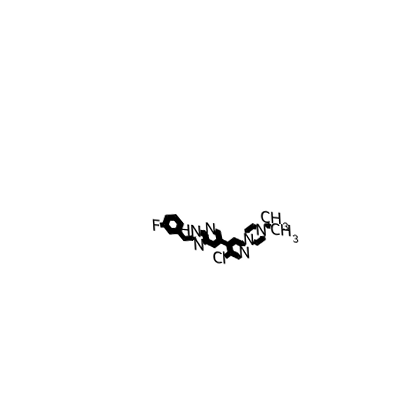 CC(C)N1CCN(c2cc(-c3cnc4[nH]c(Cc5cccc(F)c5)nc4c3)c(Cl)cn2)CC1